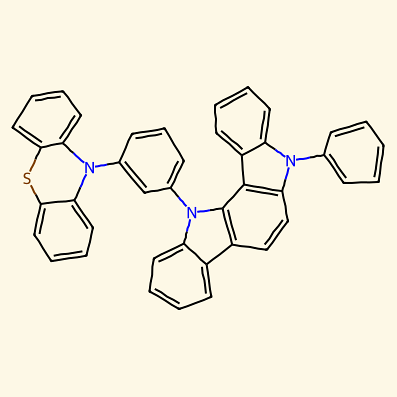 c1ccc(-n2c3ccccc3c3c2ccc2c4ccccc4n(-c4cccc(N5c6ccccc6Sc6ccccc65)c4)c23)cc1